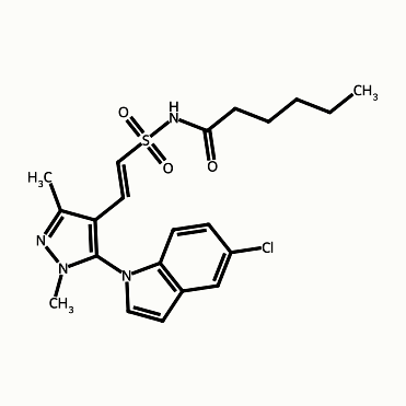 CCCCCC(=O)NS(=O)(=O)C=Cc1c(C)nn(C)c1-n1ccc2cc(Cl)ccc21